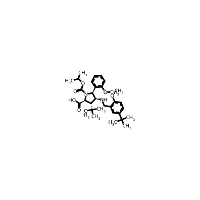 COc1ccc(C(C)(C)C)cc1CN[C@H]1[C@H](C(C)(C)C)[C@@H](C(=O)O)N(C(=O)OC(C)C)[C@H]1c1ccccc1OC